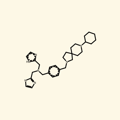 C1=CN=C(CN(Cc2ccc(CN3CCC4(CCN(C5CCCCC5)CC4)C3)cc2)Cc2ncc[nH]2)[N]1